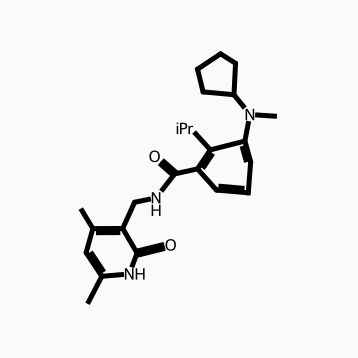 Cc1cc(C)c(CNC(=O)c2cccc(N(C)C3CCCC3)c2C(C)C)c(=O)[nH]1